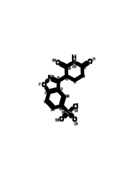 O=C1CCC(c2noc3ccc(S(=O)(=O)Cl)cc23)C(=O)N1